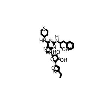 CCc1cc([C@H]2O[C@@H](n3cnc4c(NC5CCSCC5)nc(NC(CO)Cc5ccccc5)nc43)[C@H](O)[C@@H]2O)on1